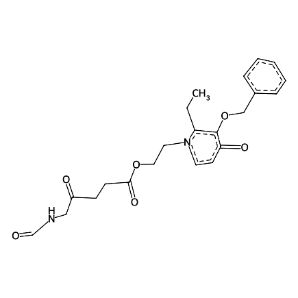 CCc1c(OCc2ccccc2)c(=O)ccn1CCOC(=O)CCC(=O)CNC=O